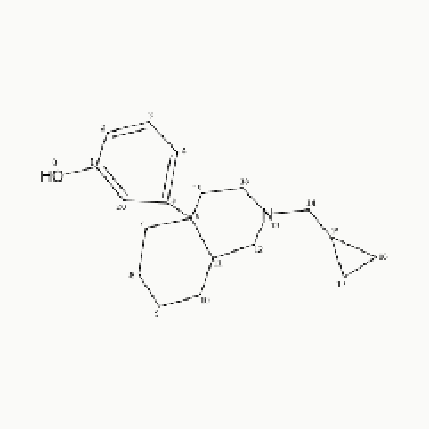 Oc1cccc(C23CCCCC2CN(CC2CC2)CC3)c1